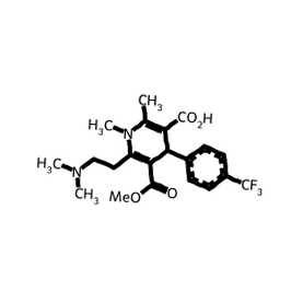 COC(=O)C1=C(CCN(C)C)N(C)C(C)=C(C(=O)O)C1c1ccc(C(F)(F)F)cc1